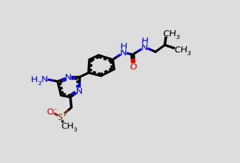 CC(C)CNC(=O)Nc1ccc(-c2nc(N)cc(C[S+](C)[O-])n2)cc1